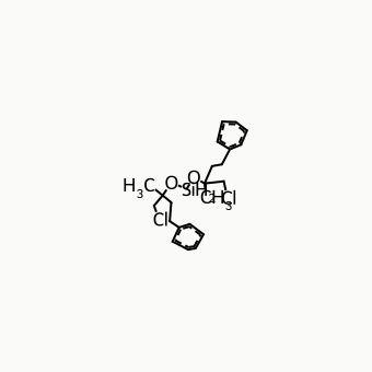 CC(CCl)(CCc1ccccc1)O[SiH2]OC(C)(CCl)CCc1ccccc1